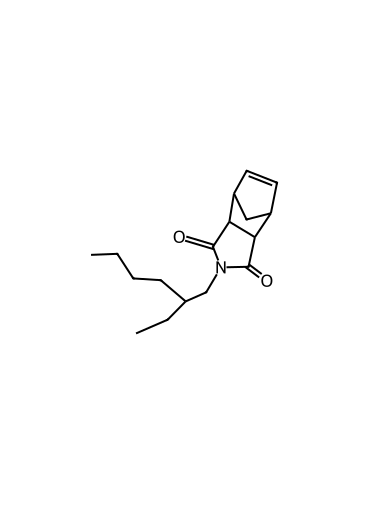 CCCCC(CC)CN1C(=O)C2C3C=CC(C3)C2C1=O